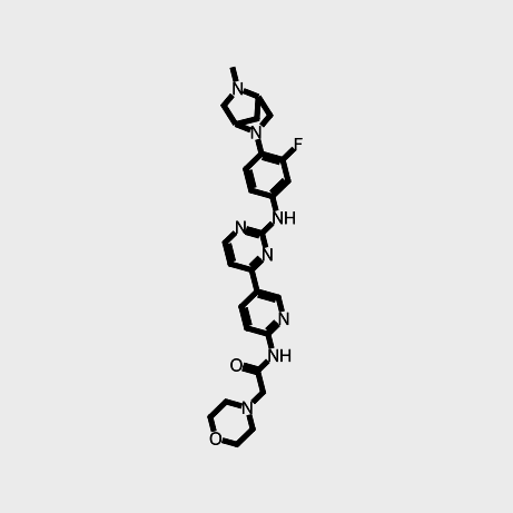 CN1CC2CC1CN2c1ccc(Nc2nccc(-c3ccc(NC(=O)CN4CCOCC4)nc3)n2)cc1F